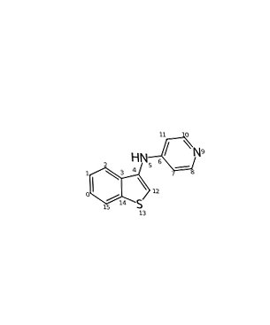 c1ccc2c(Nc3ccncc3)csc2c1